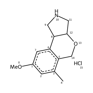 COc1cc(C)c2c(c1)C1CNCC1OC2.Cl